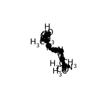 COc1c(Cl)cc(C(C)(C)c2ccc(OCc3ccnc(N4CCC5(CC4)CC(CN4CCC(c6ccc(N(C=O)C7CCC(=O)NC7=O)c(N(C)C)c6)CC4)C5)n3)cc2)cc1C#N